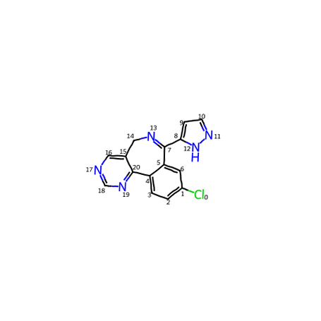 Clc1ccc2c(c1)C(c1ccn[nH]1)=NCc1cncnc1-2